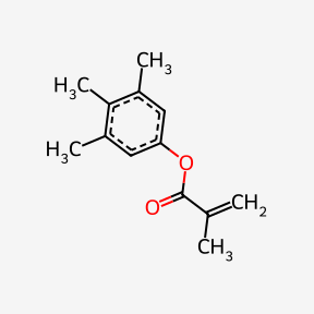 C=C(C)C(=O)Oc1cc(C)c(C)c(C)c1